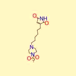 CS(=O)(=O)N1CCN(CCCCCCC2=CC(=O)NC2=O)CC1